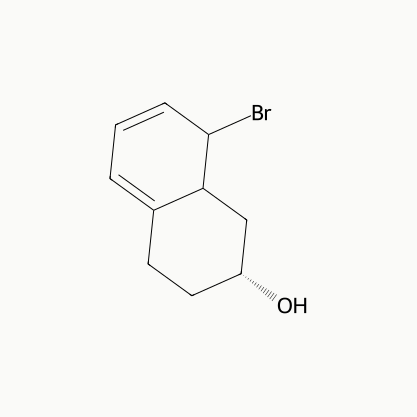 O[C@@H]1CCC2=CC=CC(Br)C2C1